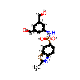 Cc1nc2ccc(S(=O)(=O)Nc3cc(C=O)cc(C=O)c3)cc2s1